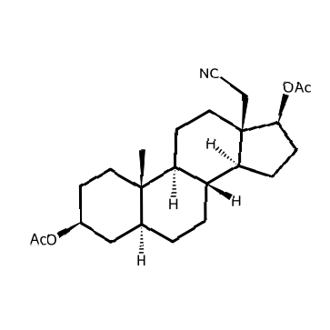 CC(=O)O[C@H]1CC[C@@]2(C)[C@@H](CC[C@@H]3[C@@H]2CC[C@]2(CC#N)[C@@H](OC(C)=O)CC[C@@H]32)C1